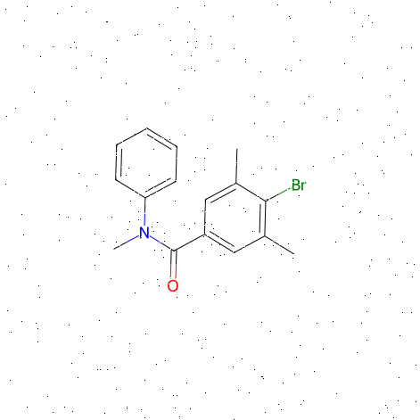 Cc1cc(C(=O)N(C)c2ccccc2)cc(C)c1Br